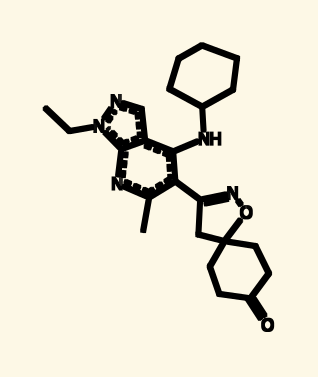 CCn1ncc2c(NC3CCCCC3)c(C3=NOC4(CCC(=O)CC4)C3)c(C)nc21